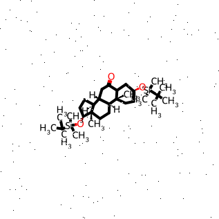 CC(C)(C)[Si](C)(C)O[C@H]1CC[C@@]2(C)C(C1)C(=O)C[C@H]1[C@@H]3CC[C@H](O[Si](C)(C)C(C)(C)C)[C@@]3(C)CC[C@@H]12